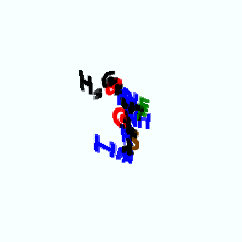 CCOCCn1cc(NC(=O)c2csc(-c3cn[nH]c3)n2)c(C(F)F)n1